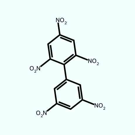 O=[N+]([O-])c1cc(-c2c([N+](=O)[O-])cc([N+](=O)[O-])cc2[N+](=O)[O-])cc([N+](=O)[O-])c1